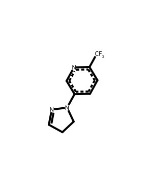 FC(F)(F)c1ccc(N2CCC=N2)cn1